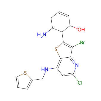 NC1CC=CC(O)C1c1sc2c(NCc3cccs3)cc(Cl)nc2c1Br